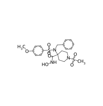 COc1ccc(S(=O)(=O)N(Cc2ccccc2)C2(C(=O)NO)CCN(S(C)(=O)=O)CC2)cc1